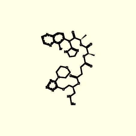 C[C@H](OC(=O)CCC(=O)O[C@@H](CNC(C)(C)C)COc1nsnc1N1CCOCC1)C(=O)O[C@@H](C)C(=O)N(C1=NCCN1)c1ccc2nccnc2c1Br